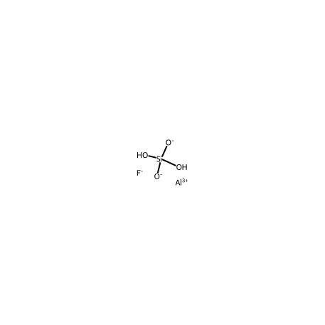 [Al+3].[F-].[O-][Si]([O-])(O)O